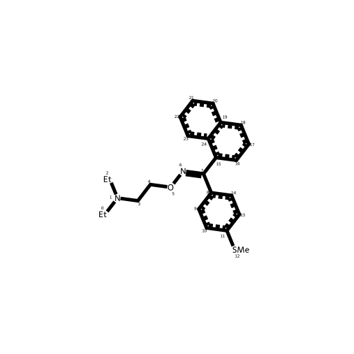 CCN(CC)CCON=C(c1ccc(SC)cc1)c1cccc2ccccc12